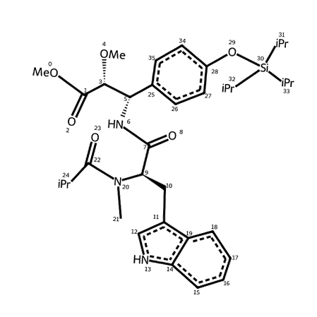 COC(=O)[C@H](OC)[C@@H](NC(=O)[C@@H](Cc1c[nH]c2ccccc12)N(C)C(=O)C(C)C)c1ccc(O[Si](C(C)C)(C(C)C)C(C)C)cc1